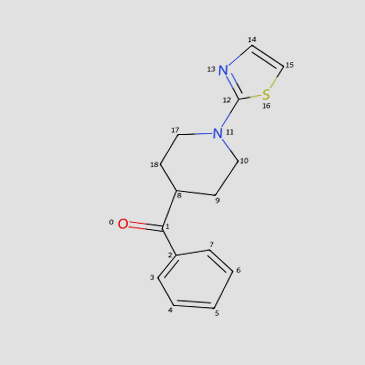 O=C(c1ccccc1)C1CCN(c2nccs2)CC1